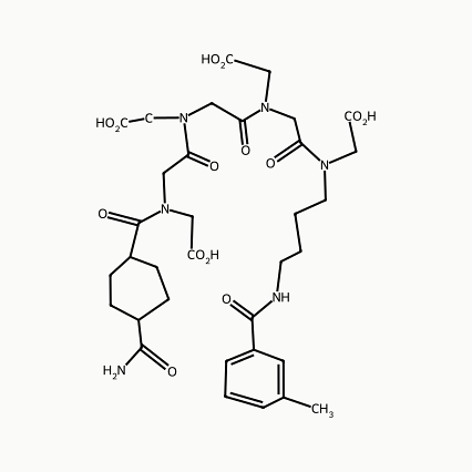 Cc1cccc(C(=O)NCCCCN(CC(=O)O)C(=O)CN(CC(=O)O)C(=O)CN(CC(=O)O)C(=O)CN(CC(=O)O)C(=O)C2CCC(C(N)=O)CC2)c1